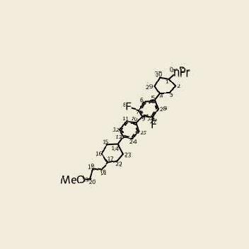 CCCC1CCC(c2cc(F)c(-c3ccc(C4CCC(CCCOC)CC4)cc3)c(F)c2)CC1